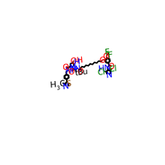 Cc1ncsc1-c1ccc(CNC(=O)C2CC(O)CN2C(=O)C(NC(=O)CCCCCCCCCCOc2cc(C(=O)Nc3c(Cl)cncc3Cl)ccc2OC(F)F)C(C)(C)C)cc1